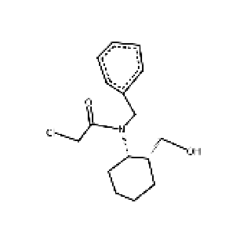 O=C(CCl)N(Cc1ccccc1)[C@H]1CCCC[C@H]1CO